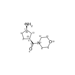 N[C@@H]1CC[C@H](C(=O)N2CCOCC2)C1